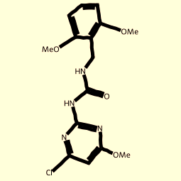 COc1cc(Cl)nc(NC(=O)NCc2c(OC)cccc2OC)n1